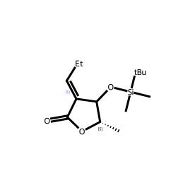 CC/C=C1/C(=O)O[C@@H](C)C1O[Si](C)(C)C(C)(C)C